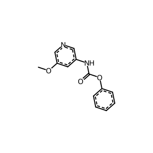 COc1cncc(NC(=O)Oc2ccccc2)c1